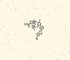 N#Cc1ccc(COc2cccc(-c3cc(F)c(Cc4nc5ccc(C(=O)O)cc5n4CC4(N)CC4)cc3F)n2)c(F)c1